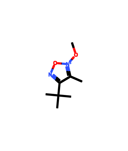 CO[n+]1onc(C(C)(C)C)c1C